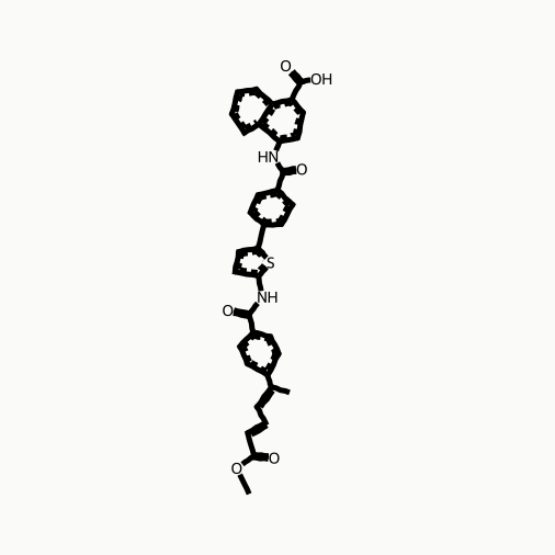 COC(=O)/C=C/C=C(\C)c1ccc(C(=O)Nc2ccc(-c3ccc(C(=O)Nc4ccc(C(=O)O)c5ccccc45)cc3)s2)cc1